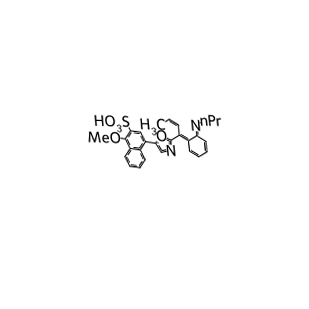 C\C=C/C(=C1/C=CC=C/C1=N\CCC)c1ncc(-c2cc(S(=O)(=O)O)c(OC)c3ccccc23)o1